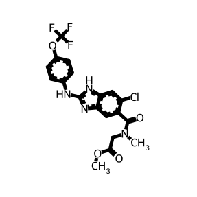 COC(=O)CN(C)C(=O)c1cc2nc(Nc3ccc(OC(F)(F)F)cc3)[nH]c2cc1Cl